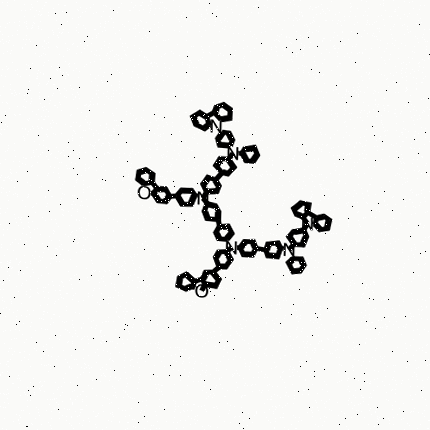 c1ccc(N(c2ccc(-c3ccc(N(c4ccc(-c5ccc(N(c6ccc(-c7ccc(N(c8ccccc8)c8ccc(-n9c%10ccccc%10c%10ccccc%109)cc8)cc7)cc6)c6ccc(-c7ccc8oc9ccccc9c8c7)cc6)cc5)cc4)c4ccc(-c5ccc6oc7ccccc7c6c5)cc4)cc3)cc2)c2ccc(-n3c4ccccc4c4ccccc43)cc2)cc1